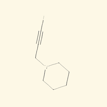 IC#CCN1CCCCC1